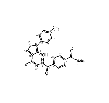 COC(=O)c1ccc(C(=O)NN=C(C)c2csc(-c3ccc(C(F)(F)F)cc3)c2O)cc1